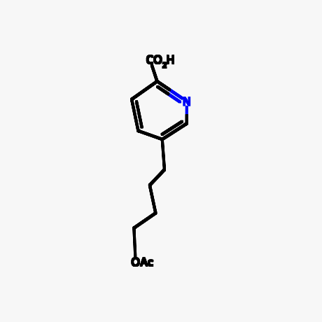 CC(=O)OCCCCc1ccc(C(=O)O)nc1